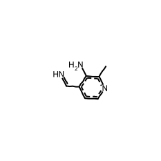 Cc1nccc(C=N)c1N